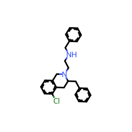 Clc1cccc2c1CC(Cc1ccccc1)N(CCNCc1ccccc1)C2